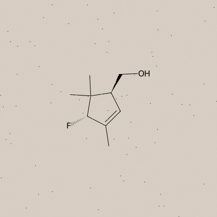 CC1=C[C@H](CO)C(C)(C)[C@H]1F